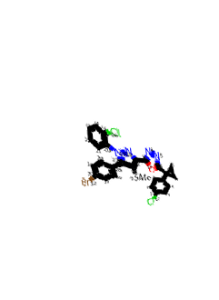 CSc1c(-c2nnc(C3(c4ccc(Cl)cc4)CC3)o2)nn(-c2ccccc2Cl)c1-c1ccc(Br)cc1